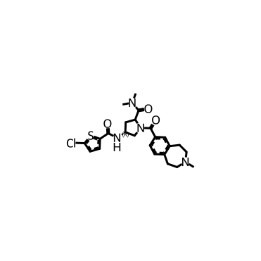 CN1CCc2ccc(C(=O)N3C[C@H](NC(=O)c4ccc(Cl)s4)CC3C(=O)N(C)C)cc2CC1